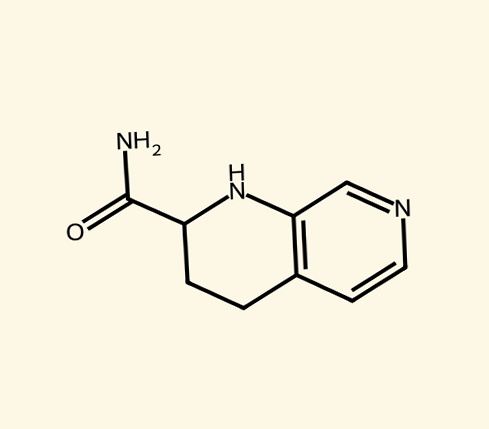 NC(=O)C1CCc2ccncc2N1